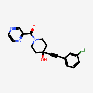 O=C(c1cnccn1)N1CCC(O)(C#Cc2cccc(Cl)c2)CC1